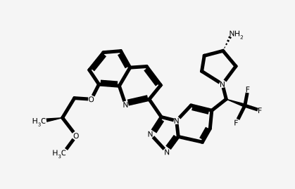 CO[C@@H](C)COc1cccc2ccc(-c3nnc4ccc([C@@H](N5CC[C@H](N)C5)C(F)(F)F)cn34)nc12